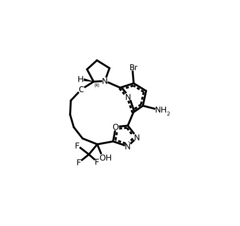 Nc1cc(Br)c2nc1-c1nnc(o1)C(O)(C(F)(F)F)CCCCC[C@@H]1CCCN21